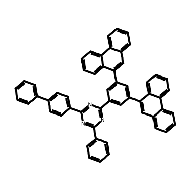 c1ccc(-c2ccc(-c3nc(-c4ccccc4)nc(-c4cc(-c5cc6ccccc6c6ccccc56)cc(-c5cc6ccccc6c6ccccc56)c4)n3)cc2)cc1